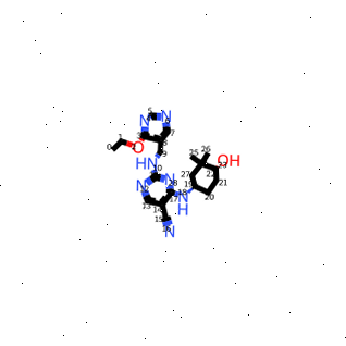 CCOc1ncncc1CNc1ncc(C#N)c(N[C@@H]2CC[C@H](O)C(C)(C)C2)n1